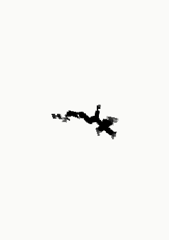 CC=C=CC=C(F)C(F)(F)F